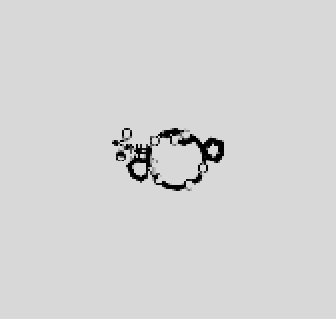 CS(=O)(=O)N[C@H]1CCCN2CCCCCOc3ccccc3C3CCC(CC3)OC[C@@H]12